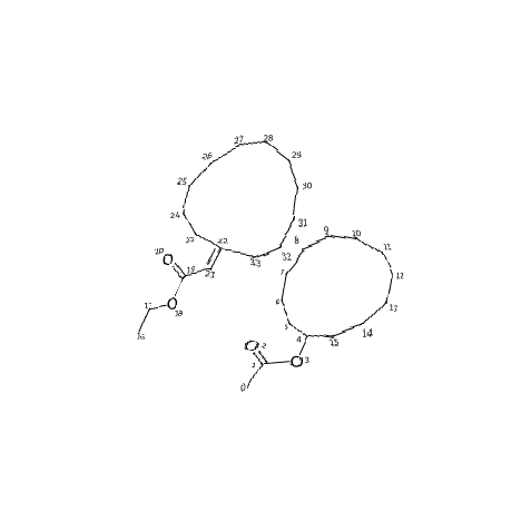 CC(=O)OC1CCCCCCCCCCC1.CCOC(=O)C=C1CCCCCCCCCCC1